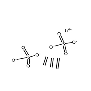 C=C.C=C.C=C.O=S(=O)([O-])[O-].O=S(=O)([O-])[O-].[Ti+4]